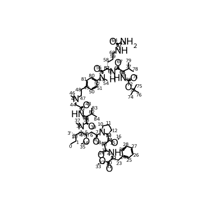 CC[C@H](C)[C@@H]([C@@H](CC(=O)N1CCC[C@H]1[C@H](OC)[C@@H](C)C(=O)N[C@@H](Cc1ccccc1)C(=O)OC)OC)N(C)C(=O)[C@@H](NC(=O)CN(C)CCc1ccc(N(C)C(=O)[C@H](CCCNC(N)=O)NC(=O)[C@@H](NC(=O)OC(C)(C)C)C(C)C)cc1)C(C)C